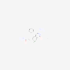 CC(C)Cn1c(CN)c(-c2ccc(Cl)cc2)c2cc(C=CC(N)=O)ccc2c1=O.Cl